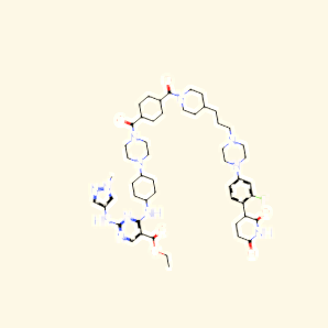 CCOC(=O)c1cnc(Nc2cnn(C)c2)nc1NC1CCC(N2CCN(C(=O)C3CCC(C(=O)N4CCC(CCCN5CCN(c6ccc(C7CCC(=O)NC7=O)c(F)c6)CC5)CC4)CC3)CC2)CC1